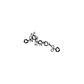 O=C(OCCN1CCN(c2ccc(NC(=O)c3nc(-c4ccccc4)oc3C(F)(F)F)cn2)CC1)c1ccccc1